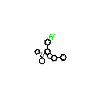 C1=CC[C]([Zr+2](=[C]2CCCCC2)[c]2cc(-c3ccccc3)cc3c2Cc2ccc(-c4ccccc4)cc2-3)=C1.[Cl-].[Cl-]